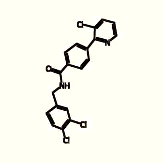 O=C(NCc1ccc(Cl)c(Cl)c1)c1ccc(-c2ncccc2Cl)cc1